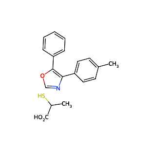 CC(S)C(=O)O.Cc1ccc(-c2ncoc2-c2ccccc2)cc1